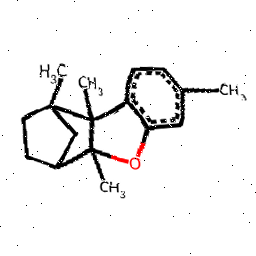 Cc1ccc2c(c1)OC1(C)C3CCC(C)(C3)C21C